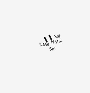 CNC.C[N]C.[Sn].[Sn]